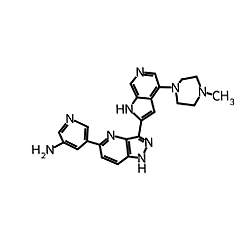 CN1CCN(c2cncc3[nH]c(-c4n[nH]c5ccc(-c6cncc(N)c6)nc45)cc23)CC1